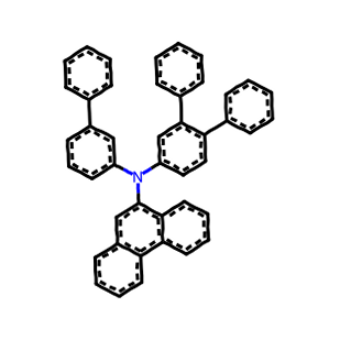 c1ccc(-c2cccc(N(c3ccc(-c4ccccc4)c(-c4ccccc4)c3)c3cc4ccccc4c4ccccc34)c2)cc1